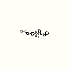 C[C@@H](CC1CCCCC1)NCc1ccccc1NS(=O)(=O)c1ccc(-n2ccc(C=O)c2)cc1